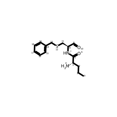 CCC[C@H](N)C(=O)N[C@H]([C]=O)CSCc1ccccc1